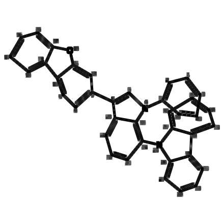 c1ccc(-n2cc(-c3ccc4c(c3)oc3ccccc34)c3cccc(-n4c5ccccc5c5ccccc54)c32)cc1